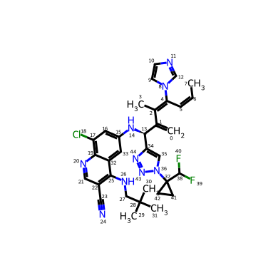 C=C(/C(C)=C(\C=C/C)n1ccnc1)[C@H](Nc1cc(Cl)c2ncc(C#N)c(NCC(C)(C)C)c2c1)c1cn(C2(C(F)F)CC2)nn1